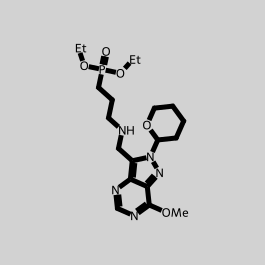 CCOP(=O)(CCCNCc1c2ncnc(OC)c2nn1C1CCCCO1)OCC